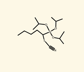 CCCCC(SC#N)[Si](OC(C)C)(OC(C)C)OC(C)C